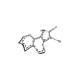 O=c1[nH]c2c3ccccc3ccc2[s+]1[O-]